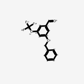 O=Cc1cc(OCc2ccccc2)cc(OC(F)(F)F)c1